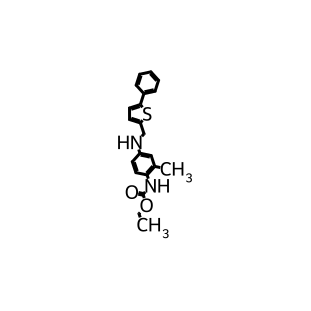 CCOC(=O)Nc1ccc(NCc2ccc(-c3ccccc3)s2)cc1C